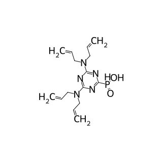 C=CCN(CC=C)c1nc(N(CC=C)CC=C)nc([PH](=O)O)n1